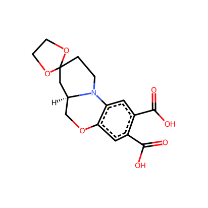 O=C(O)c1cc2c(cc1C(=O)O)N1CCC3(C[C@@H]1CO2)OCCO3